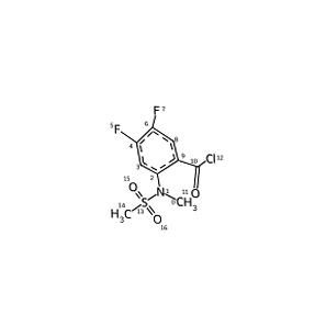 CN(c1cc(F)c(F)cc1C(=O)Cl)S(C)(=O)=O